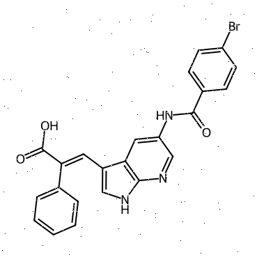 O=C(O)/C(=C/c1c[nH]c2ncc(NC(=O)c3ccc(Br)cc3)cc12)c1ccccc1